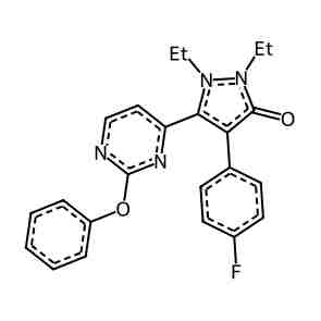 CCn1c(-c2ccnc(Oc3ccccc3)n2)c(-c2ccc(F)cc2)c(=O)n1CC